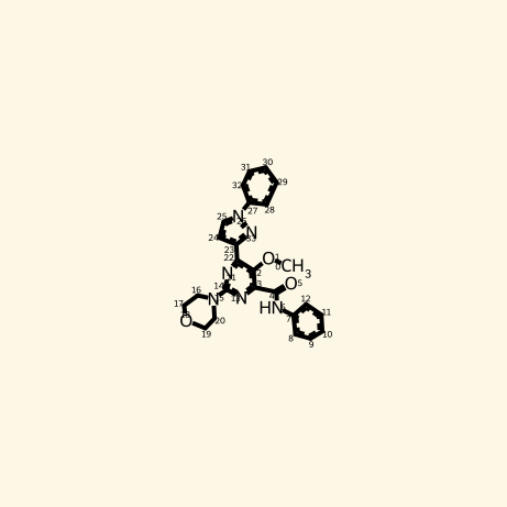 COc1c(C(=O)Nc2ccccc2)nc(N2CCOCC2)nc1-c1ccn(-c2ccccc2)n1